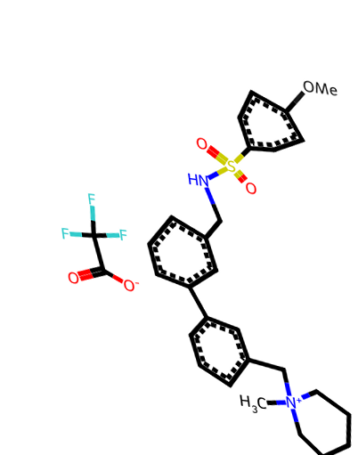 COc1ccc(S(=O)(=O)NCc2cccc(-c3cccc(C[N+]4(C)CCCCC4)c3)c2)cc1.O=C([O-])C(F)(F)F